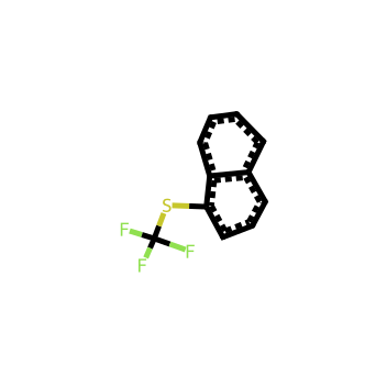 FC(F)(F)Sc1cccc2ccccc12